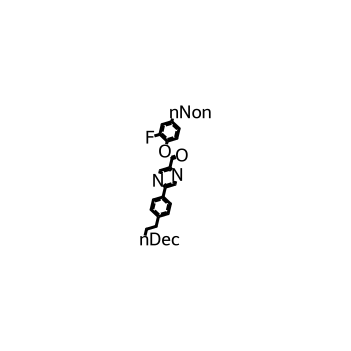 CCCCCCCCCCCCc1ccc(-c2cnc(C(=O)Oc3ccc(CCCCCCCCC)cc3F)cn2)cc1